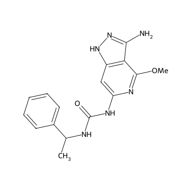 COc1nc(NC(=O)NC(C)c2ccccc2)cc2[nH]nc(N)c12